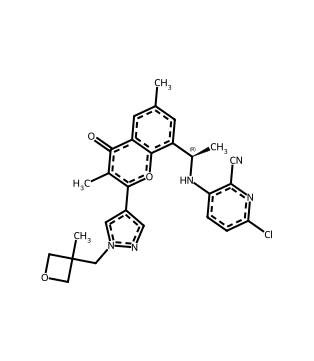 Cc1cc([C@@H](C)Nc2ccc(Cl)nc2C#N)c2oc(-c3cnn(CC4(C)COC4)c3)c(C)c(=O)c2c1